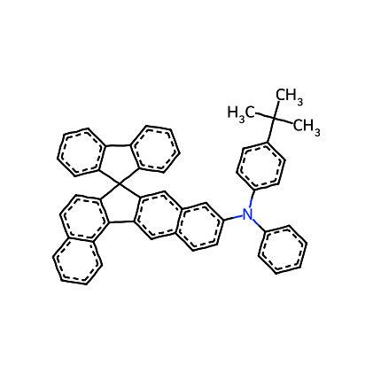 CC(C)(C)c1ccc(N(c2ccccc2)c2ccc3cc4c(cc3c2)C2(c3ccccc3-c3ccccc32)c2ccc3ccccc3c2-4)cc1